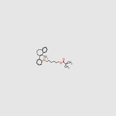 C=C(C)C(=O)OCCCCCCOc1ccccc1C1=C(C(F)(F)F)c2ccccc2CCC1